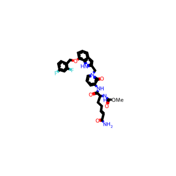 COC(=O)NC(CCC=CC(N)=O)C(=O)Nc1cccn(Cc2cc3cccc(OCc4ccc(F)cc4F)c3[nH]2)c1=O